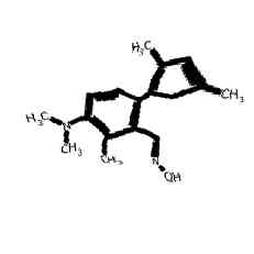 CC1=CC(C)=C(c2ccc(N(C)C)c(C)c2C=NO)C1